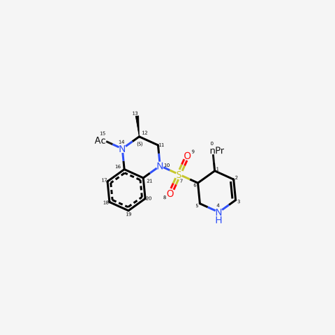 CCCC1C=CNCC1S(=O)(=O)N1C[C@H](C)N(C(C)=O)c2ccccc21